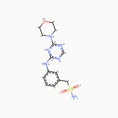 NS(=O)(=O)Cc1cccc(Nc2ncnc(N3CCOCC3)n2)c1